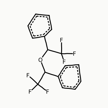 FC(F)(F)C(OC(c1ccccc1)C(F)(F)F)c1ccccc1